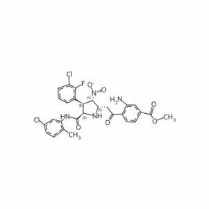 COC(=O)c1ccc(C(=O)C[C@@H]2N[C@@H](C(=O)Nc3cc(Cl)ccc3C)[C@@H](c3cccc(Cl)c3F)[C@@H]2[N+](=O)[O-])c(N)c1